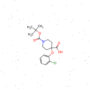 CC(C)(C)OC(=O)N1CCC(Oc2ccccc2Cl)(C(=O)O)CC1